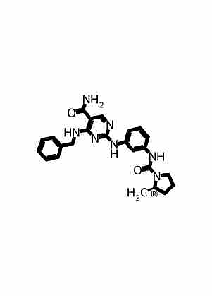 C[C@@H]1CCCN1C(=O)Nc1cccc(Nc2ncc(C(N)=O)c(NCc3ccccc3)n2)c1